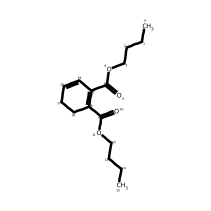 CCCCOC(=O)C1=C(C(=O)OCCCC)CCC=C1